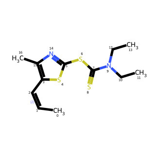 C/C=C\c1sc(SC(=S)N(CC)CC)nc1C